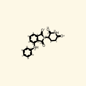 O=C1CCC(N2C(=O)c3cccc(Nc4ccccc4)c3C2=O)C(=O)N1